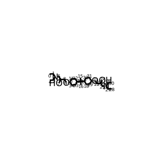 CCN(CC)CC(O)COC1CCC(C(C)(C)C2CCC(OCC(O)CN(CC)CC)CC2)CC1